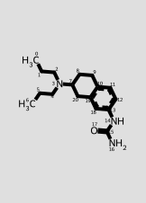 CCCN(CCC)C1CCc2ccc(NC(N)=O)cc2C1